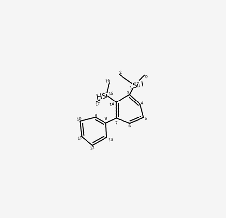 C[SiH](C)c1cccc(-c2ccccc2)c1[SiH](C)C